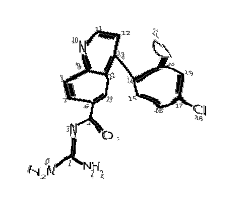 NC(N)=NC(=O)c1ccc2nccc(-c3ccc(Cl)cc3Cl)c2c1